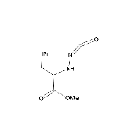 COC(=O)C(CC(C)C)NN=C=O